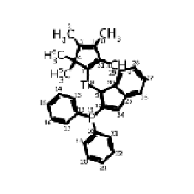 CC1=C(C)C(C)(C)[C]([Ti][CH]2C(P(c3ccccc3)c3ccccc3)=Cc3ccccc32)=C1C